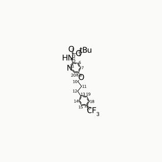 CC(C)(C)OC(=O)Nc1ccc(OCCCc2ccc(C(F)(F)F)cc2)cn1